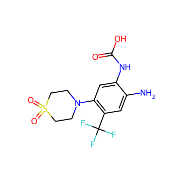 Nc1cc(C(F)(F)F)c(N2CCS(=O)(=O)CC2)cc1NC(=O)O